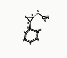 OC[C@H]1C[C@@H]1c1ccccn1